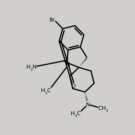 CN1C(=O)C2(N=C1N)c1cc(Br)ccc1C[C@]21CC[C@@H](N(C)C)CC1